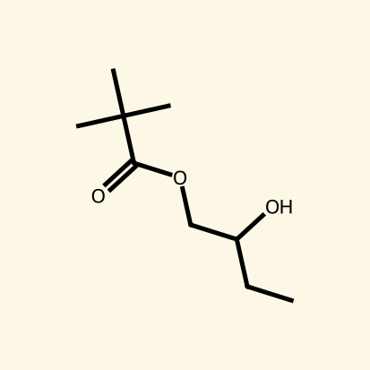 CCC(O)COC(=O)C(C)(C)C